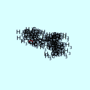 Cc1cc2c3c(c1)N(c1ccccc1-c1ccccc1)c1c(sc4cc5c(cc14)C(C)(C)CCC5(C)CCC(C)(C)c1cc(N4c5cc(C(C)(C)C)cc6c5B(c5cc7c(cc5N6c5ccc6c(c5)C(C)(C)CCC6(C)C)C(C)(C)CCC7(C)C)c5sc6cc7c(cc6c54)C(C)(C)CCC7(C)C)cc(C(C)(C)C)c1)B3c1cc3c(cc1N2c1ccc2c(c1)C(C)(C)CCC2(C)C)C(C)(C)CCC3(C)C